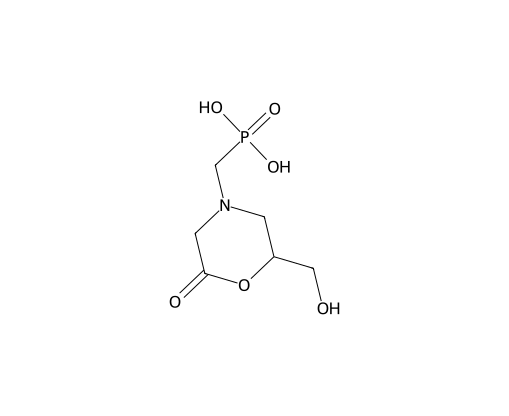 O=C1CN(CP(=O)(O)O)CC(CO)O1